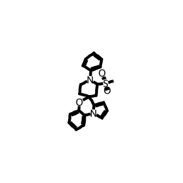 CS(=O)(=O)C1CC2(CCN1c1ccccc1)Oc1ccccc1-n1cccc12